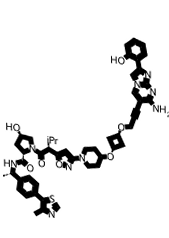 Cc1ncsc1-c1ccc([C@H](C)NC(=O)[C@@H]2C[C@@H](O)CN2C(=O)[C@@H](c2cc(N3CCC(O[C@H]4C[C@H](OCC#Cc5cn6cc(-c7ccccc7O)nc6nc5N)C4)CC3)no2)C(C)C)cc1